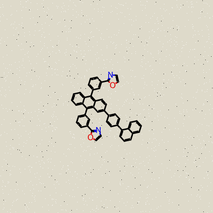 c1cc(-c2ncco2)cc(-c2c3ccccc3c(-c3cccc(-c4ncco4)c3)c3cc(-c4ccc(-c5cccc6ccccc56)cc4)ccc23)c1